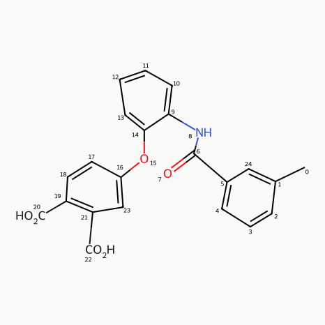 Cc1cccc(C(=O)Nc2ccccc2Oc2ccc(C(=O)O)c(C(=O)O)c2)c1